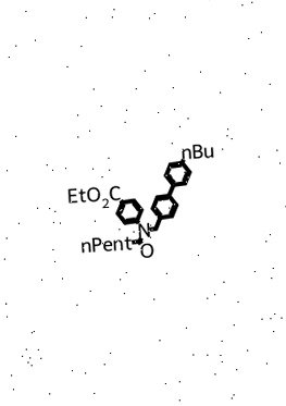 CCCCCC(=O)N(Cc1ccc(-c2ccc(CCCC)cc2)cc1)c1ccc(C(=O)OCC)cc1